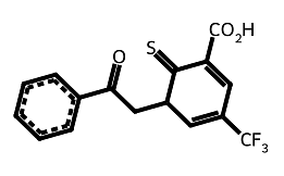 O=C(O)C1=CC(C(F)(F)F)=CC(CC(=O)c2ccccc2)C1=S